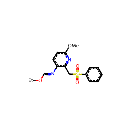 CCOC=Nc1ccc(OC)nc1CS(=O)(=O)c1ccccc1